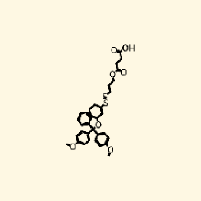 COc1ccc(C(OC2CCCC(SSCCCOC(=O)CCC(=O)O)C2)(c2ccccc2)c2ccc(OC)cc2)cc1